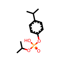 CC(C)OP(=O)(O)Oc1ccc(C(C)C)cc1